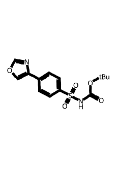 CC(C)(C)OC(=O)NS(=O)(=O)c1ccc(-c2cocn2)cc1